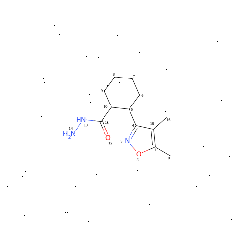 Cc1onc(C2CCCCC2C(=O)NN)c1C